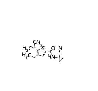 CCc1cc(C(=O)NC2(C#N)CC2)sc1C(C)C